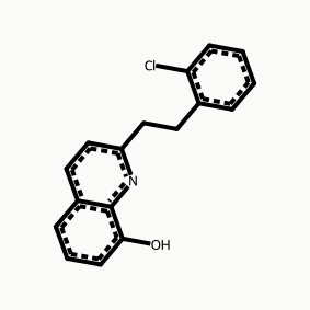 Oc1cccc2ccc(CCc3ccccc3Cl)nc12